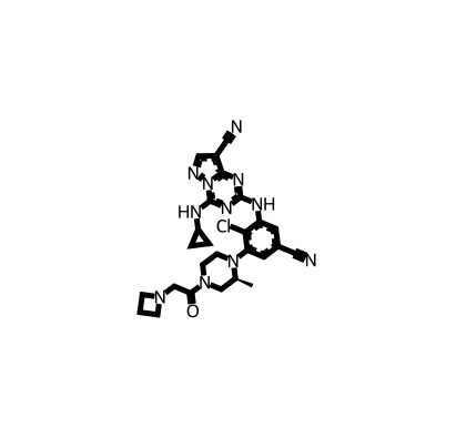 C[C@H]1CN(C(=O)CN2CCC2)CCN1c1cc(C#N)cc(Nc2nc(NC3CC3)n3ncc(C#N)c3n2)c1Cl